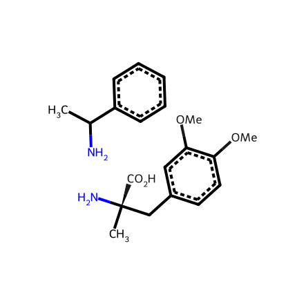 CC(N)c1ccccc1.COc1ccc(C[C@](C)(N)C(=O)O)cc1OC